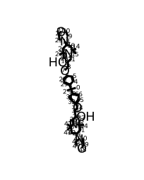 CC(C)(c1ccc(OCC(O)CN2C(C)(C)CC(N3CCOCC3)CC2(C)C)cc1)c1ccc(OCC(O)CN2C(C)(C)CC(N3CCOCC3)CC2(C)C)cc1